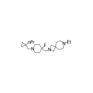 CCCC1(CN2CCC(F)(CN3CC4(CCN(CC)CC4)C3)CC2)CC1